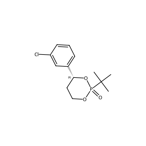 CC(C)(C)P1(=O)OCC[C@H](c2cccc(Cl)c2)O1